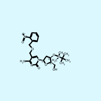 CC(C)(C)[Si](C)(C)O[C@@H]1C[C@H](n2cc(COCc3ccccc3[N+](=O)[O-])c(N)nc2=O)O[C@@H]1CO